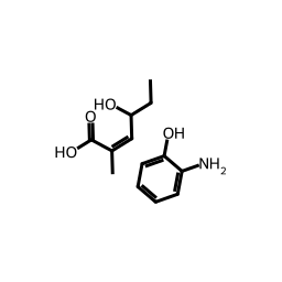 CCC(O)C=C(C)C(=O)O.Nc1ccccc1O